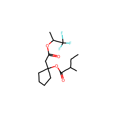 CCC(C)C(=O)OC1(CC(=O)OC(C)C(F)(F)F)CCCC1